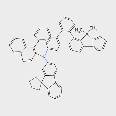 CC1(C)c2ccccc2-c2cccc(-c3ccccc3-c3ccc(N(c4ccc5c(c4)C4(CCCC4)c4ccccc4-5)c4ccc5ccccc5c4-c4ccccc4)cc3)c21